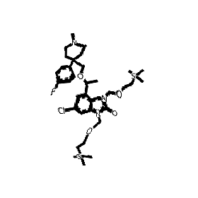 CC(OCC1(c2ccc(F)cc2)CCN(C)CC1)c1cc(Cl)cc2c1n(COCC[Si](C)(C)C)c(=O)n2COCC[Si](C)(C)C